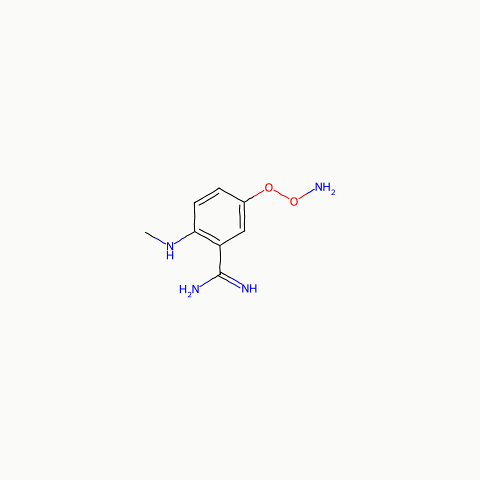 CNc1ccc(OON)cc1C(=N)N